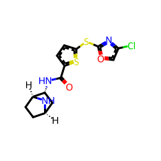 O=C(N[C@@H]1C[C@H]2CC[C@@H]1N2)c1ccc(Sc2nc(Cl)co2)s1